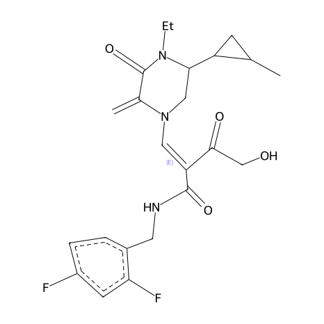 C=C1C(=O)N(CC)C(C2CC2C)CN1/C=C(\C(=O)CO)C(=O)NCc1ccc(F)cc1F